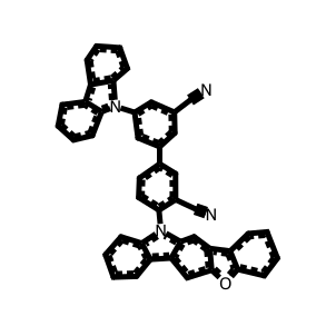 N#Cc1cc(-c2ccc(-n3c4ccccc4c4cc5oc6ccccc6c5cc43)c(C#N)c2)cc(-n2c3ccccc3c3ccccc32)c1